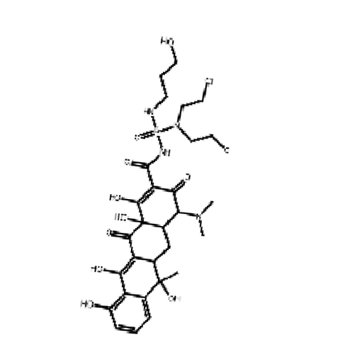 CN(C)C1C(=O)C(C(=O)NP(=O)(NCCCO)N(CCCl)CCCl)=C(O)C2(O)C(=O)C3=C(O)c4c(O)cccc4C(C)(O)C3CC12